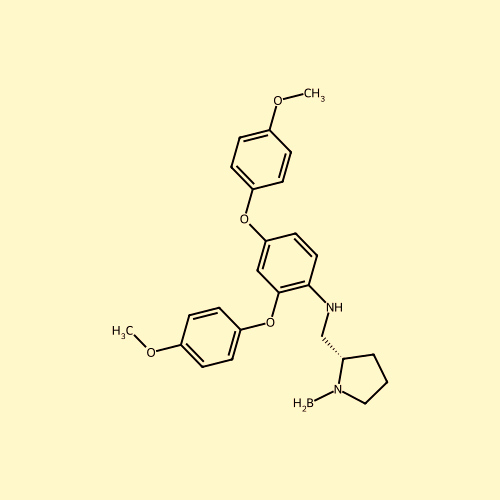 BN1CCC[C@H]1CNc1ccc(Oc2ccc(OC)cc2)cc1Oc1ccc(OC)cc1